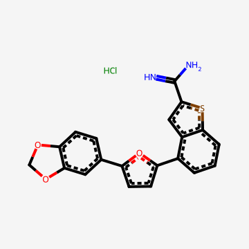 Cl.N=C(N)c1cc2c(-c3ccc(-c4ccc5c(c4)OCO5)o3)cccc2s1